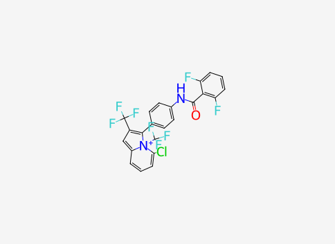 O=C(Nc1ccc(C2=C(C(F)(F)F)C=C3C=CC=C(Cl)[N+]32C(F)(F)F)cc1)c1c(F)cccc1F